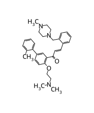 Cc1ccccc1-c1ccc(OCCN(C)C)c(C(=O)C=Cc2ccccc2CN2CCN(C)CC2)c1